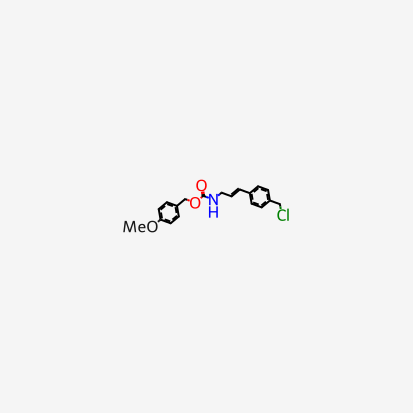 COc1ccc(COC(=O)NCC=Cc2ccc(CCl)cc2)cc1